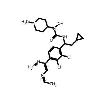 C=N/C(=C\N=C/C)c1ccc(C(CC2CC2)NC(=O)N(O)C2CCN(C)CC2)c(Cl)c1Cl